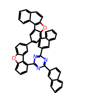 c1ccc2cc(-c3nc(-c4ccc5ccccc5c4)nc(-c4cccc5oc6ccc(-c7ccc8oc9ccc%10ccccc%10c9c8c7)cc6c45)n3)ccc2c1